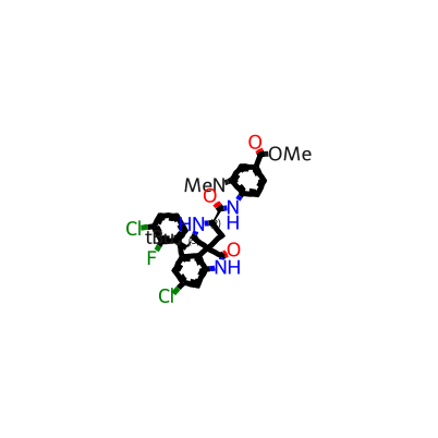 CNc1cc(C(=O)OC)ccc1NC(=O)[C@H]1CC2(C(=O)Nc3cc(Cl)cc(-c4cccc(Cl)c4F)c32)[C@H](CC(C)(C)C)N1